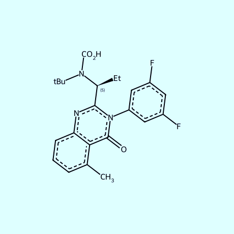 CC[C@@H](c1nc2cccc(C)c2c(=O)n1-c1cc(F)cc(F)c1)N(C(=O)O)C(C)(C)C